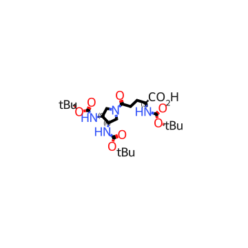 CC(C)(C)OC(=O)N[C@@H](CCC(=O)N1C[C@H](NC(=O)OC(C)(C)C)[C@H](NC(=O)OC(C)(C)C)C1)C(=O)O